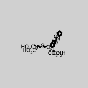 O=C(O)CN(CCOCCOc1cc2cc(-c3nc4ccccc4o3)oc2cc1N(CC(=O)O)CC(=O)O)CC(=O)O